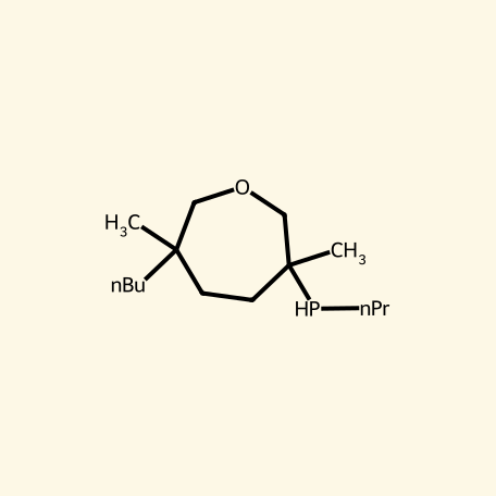 CCCCC1(C)CCC(C)(PCCC)COC1